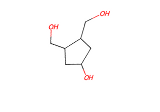 OCC1CC(O)CC1CO